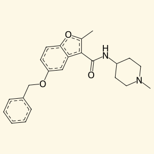 Cc1oc2ccc(OCc3ccccc3)cc2c1C(=O)NC1CCN(C)CC1